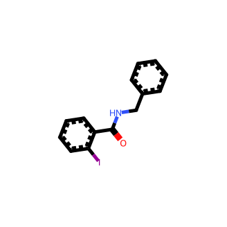 O=C(NCc1ccccc1)c1ccccc1I